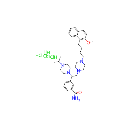 COc1ccc2ccccc2c1CCCCN1CCN(CC(c2cccc(C(N)=O)c2)N2CCN(C(C)C)CC2)CC1.Cl.Cl.Cl.Cl